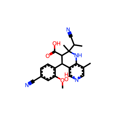 COc1cc(C#N)ccc1C1c2c(O)ncc(C)c2NC(C)(C(C)C#N)C1C(=O)O